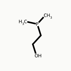 CP(C)CCO